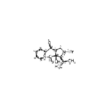 CC(C)=C1N(C(C)C)CN(C(=O)c2ccccn2)C1(C)C